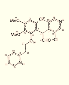 COc1ccc(C(C=O)c2c(Cl)cncc2Cl)c(OCCc2ccccn2)c1OC